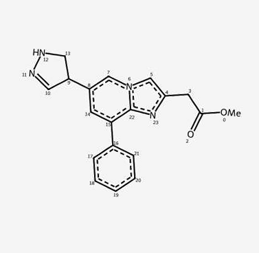 COC(=O)Cc1cn2cc(C3C=NNC3)cc(-c3ccccc3)c2n1